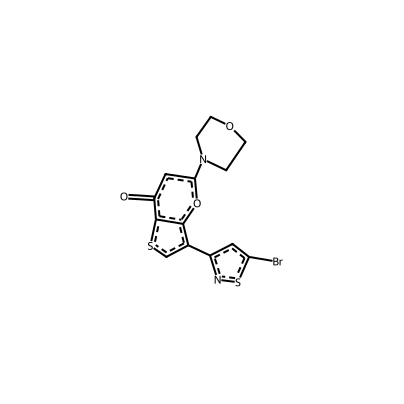 O=c1cc(N2CCOCC2)oc2c(-c3cc(Br)sn3)csc12